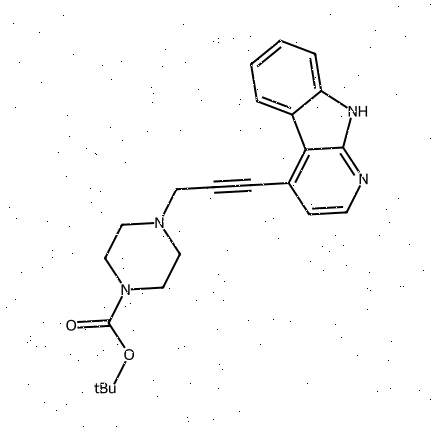 CC(C)(C)OC(=O)N1CCN(CC#Cc2ccnc3[nH]c4ccccc4c23)CC1